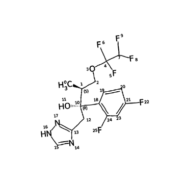 C[C@@H](COC(F)(F)C(F)F)[C@](O)(Cc1nc[nH]n1)c1ccc(F)cc1F